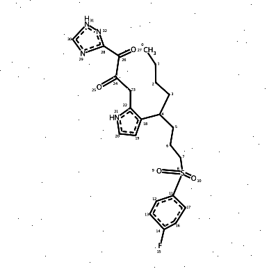 CCCCC(CCCS(=O)(=O)c1ccc(F)cc1)c1cc[nH]c1CC(=O)C(=O)c1nc[nH]n1